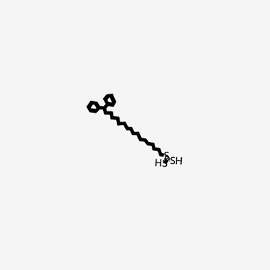 SP(S)SCCCCCCCCCCCCCCCCCC(c1ccccc1)c1ccccc1